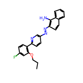 CCCOc1cc(F)ccc1-c1ccc(N=Nc2ccc3ccccc3c2N)cn1